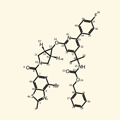 Cc1nc2c(Br)cc(C(=O)N3C[C@@H]4C(Oc5cc(C(C)(C)NC(=O)OCc6ccccc6)cc(-c6ccc(F)cc6)n5)[C@@H]4C3)cc2s1